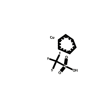 O=S(=O)(O)C(F)(F)F.[Cu].c1ccccc1